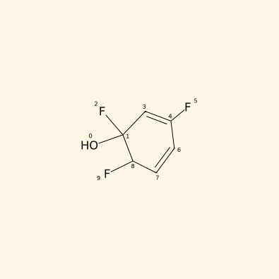 OC1(F)C=C(F)C=CC1F